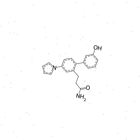 NC(=O)CCc1cc(-n2cccc2)ccc1-c1cccc(O)c1